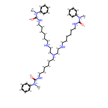 CC(=O)N(C(=O)NCCCCCCNCCN(CCCCCCNC(=O)N(C(C)=O)c1ccccc1)CCNCCCCCCNC(=O)N(C(C)=O)c1ccccc1)c1ccccc1